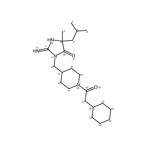 CC(C)CC1(C)NC(=N)N(CC2CCN(C(=O)CC3CCCCC3)CC2)C1=O